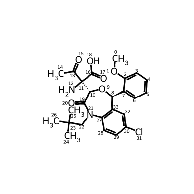 COc1ccccc1[C@@H]1O[C@@H](C(N)(C(C)=O)C(=O)O)C(=O)N(CC(C)(C)C)c2ccc(Cl)cc21